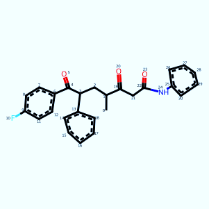 CC(CC(C(=O)c1ccc(F)cc1)c1ccccc1)C(=O)CC(=O)Nc1ccccc1